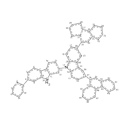 c1ccc(-c2ccc3c(c2)[SiH2]c2cc(-n4c5ccc(-c6cc7ccccc7c7ccccc67)cc5c5cc(-c6cc7ccccc7c7ccccc67)ccc54)ccc2-3)cc1